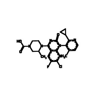 Cc1ccnc(C2CC2)c1-n1c(=O)nc(N2CCN(C(=O)O)CC2C)c2cc(F)c(Cl)nc21